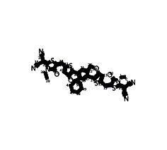 CCn1c(=C(C#N)C#N)s/c(=C/c2cc3c(s2)-c2cc4c(cc2CO3)-c2sc(/C=c3/sc(=C(C#N)C#N)n(CC)c3=O)cc2OC42CCCCC2)c1=O